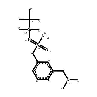 CN(C)Cc1cccc(CS(N)(=O)=N[Si](C)(C)C(C)(C)C)c1